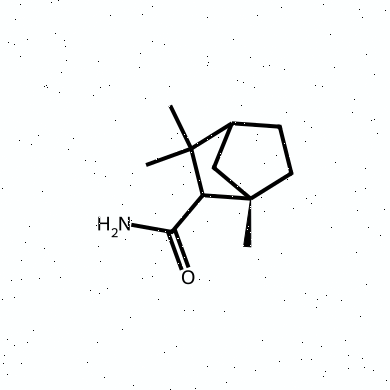 CC1(C)C2CC[C@@](C)(C2)C1C(N)=O